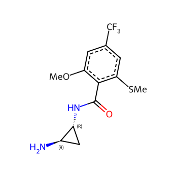 COc1cc(C(F)(F)F)cc(SC)c1C(=O)N[C@@H]1C[C@H]1N